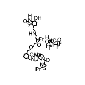 CCN(CCNCCc1ccc(O)c2[nH]c(=O)sc12)C(=O)CCOCCc1cccc(CN2CCC3(CC2)CN(C(=O)c2csc(C(C)C)n2)CCO3)c1OC.O=C(O)C(F)(F)F.O=C(O)C(F)(F)F